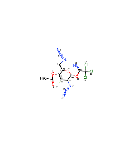 CC(=O)O[C@@H]1[C@@H](CN=[N+]=[N-])O[C@H](OC(=N)C(Cl)(Cl)Cl)C(N=[N+]=[N-])[C@@H]1F